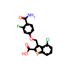 NC(=O)c1ccc(OCc2c(C(=O)O)sc3cccc(Cl)c23)cc1F